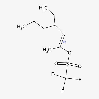 CCCC(/C=C(\C)OS(=O)(=O)C(F)(F)F)CC